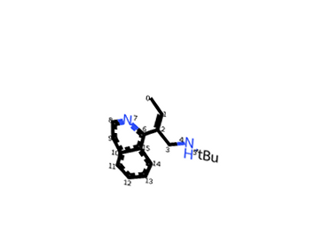 C/C=C(/CNC(C)(C)C)c1nccc2ccccc12